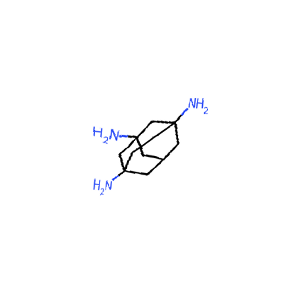 NC12CC3CC(N)(C1)CC(N)(C3)C2